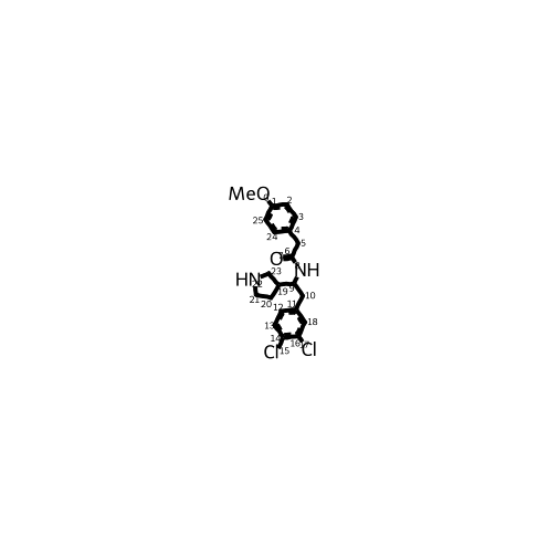 COc1ccc(CC(=O)NC(Cc2ccc(Cl)c(Cl)c2)C2CCNC2)cc1